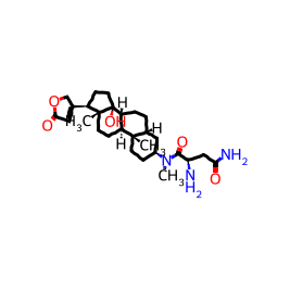 CN(C(=O)[C@H](N)CC(N)=O)[C@H]1CC[C@@]2(C)[C@H](CC[C@@H]3[C@@H]2CC[C@]2(C)[C@@H](C4=CC(=O)OC4)CC[C@]32O)C1